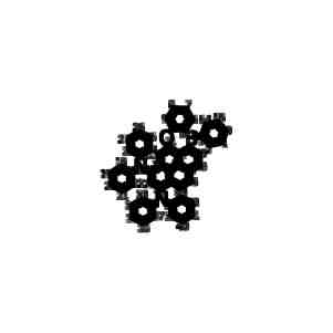 c1ccc(B2c3ccccc3Oc3cc4c(N(c5ccccc5)c5ccccc5)cc(N(c5ccccc5)c5ccccc5)c5ccc6ccc2c3c6c54)cc1